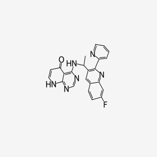 CC(Nc1ncnc2[nH]ccc(=O)c12)c1cc2ccc(F)cc2nc1-c1ccccn1